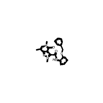 Cc1cn(C)c(=O)c2c(C(=O)Nc3ccccc3OCc3ccccc3)n(C)nc12